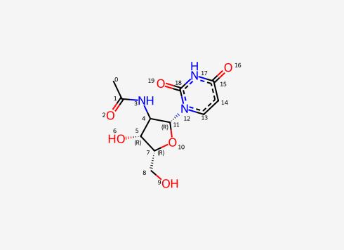 CC(=O)NC1[C@@H](O)[C@@H](CO)O[C@H]1n1ccc(=O)[nH]c1=O